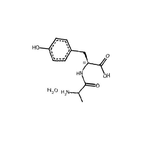 CC(N)C(=O)N[C@@H](Cc1ccc(O)cc1)C(=O)O.O